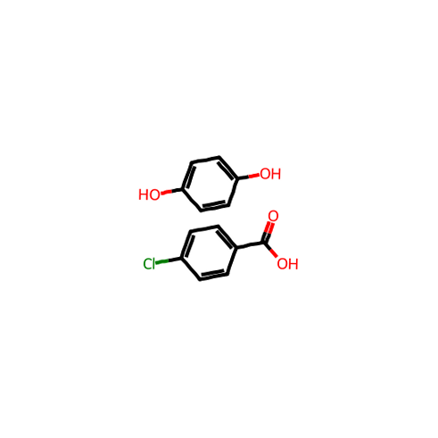 O=C(O)c1ccc(Cl)cc1.Oc1ccc(O)cc1